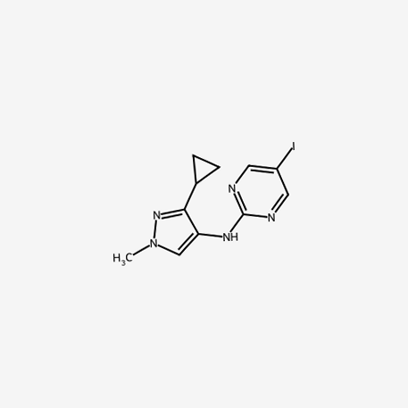 Cn1cc(Nc2ncc(I)cn2)c(C2CC2)n1